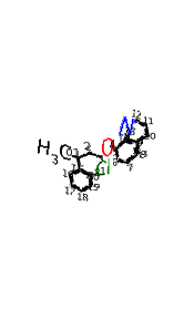 CC(CCOc1cccc2cccnc12)c1ccccc1Cl